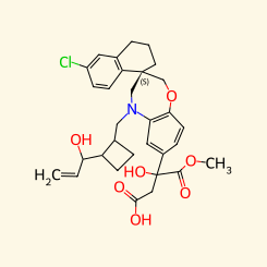 C=CC(O)C1CCC1CN1C[C@@]2(CCCc3cc(Cl)ccc32)COc2ccc(C(O)(CC(=O)O)C(=O)OC)cc21